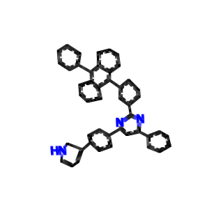 C1=CNCC(c2ccc(-c3cc(-c4ccccc4)nc(-c4cccc(-c5c6ccccc6c(-c6ccccc6)c6ccccc56)c4)n3)cc2)=C1